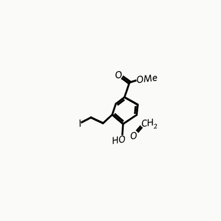 C=O.COC(=O)c1ccc(O)c(CCI)c1